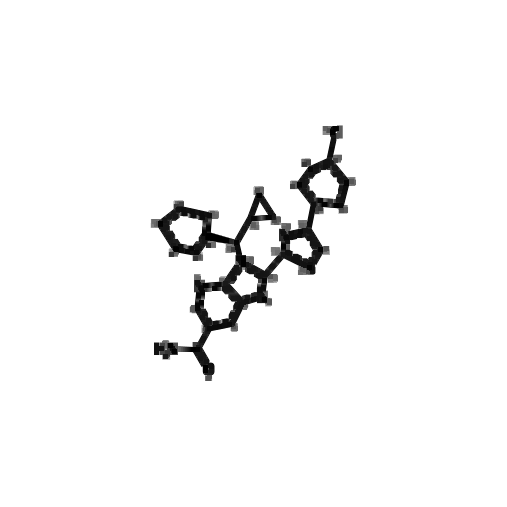 NC(=O)c1cnc2c(c1)nc(-c1nc(-c3ccc(Cl)cc3)cs1)n2[C@@H](c1ccccc1)C1CC1